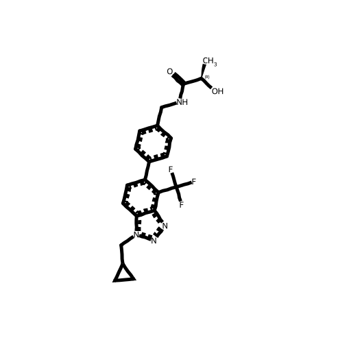 C[C@@H](O)C(=O)NCc1ccc(-c2ccc3c(nnn3CC3CC3)c2C(F)(F)F)cc1